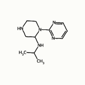 CC(C)NC1CNCCN1c1ncccn1